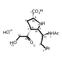 CC(=O)N[C@@H](CC(C)C)[C@@H]1N[C@@H](C(=O)O)C[C@H]1C(=O)CO.Cl